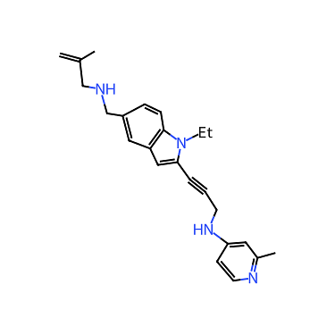 C=C(C)CNCc1ccc2c(c1)cc(C#CCNc1ccnc(C)c1)n2CC